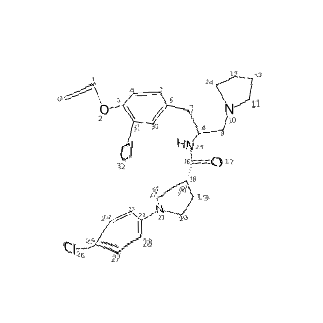 C=COc1ccc(CC(CN2CCCC2)NC(=O)[C@@H]2CCN(c3ccc(Cl)cc3)C2)cc1Cl